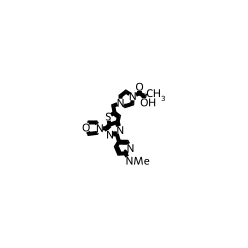 CNc1ccc(-c2nc(N3CCOCC3)c3sc(CN4CCN(C(=O)[C@H](C)O)CC4)cc3n2)cn1